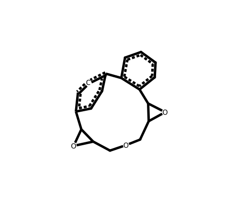 c1ccc2c(c1)-c1ccc(cc1)C1OC1COCC1OC21